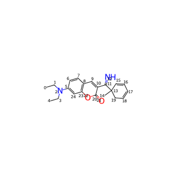 CCN(CC)c1ccc2cc(C(=N)C3(C)C=CC=CC3)c(=O)oc2c1